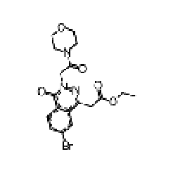 CCOC(=O)Cc1nn(CC(=O)N2CCOCC2)c(=O)c2ccc(Br)cc12